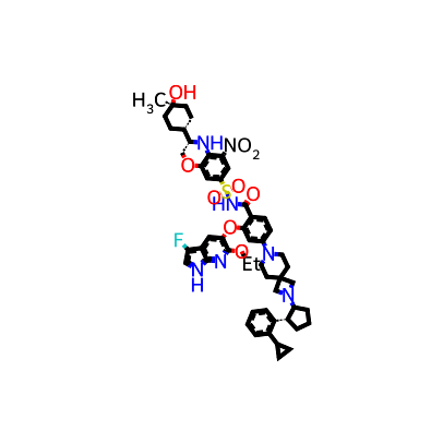 CCOc1nc2[nH]cc(F)c2cc1Oc1cc(N2CCC3(CC2)CN(C2CCC[C@@H]2c2ccccc2C2CC2)C3)ccc1C(=O)NS(=O)(=O)c1cc2c(c([N+](=O)[O-])c1)N[C@@H]([C@H]1CC[C@](C)(O)CC1)CO2